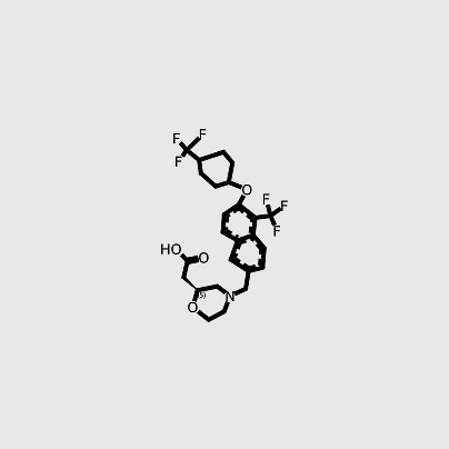 O=C(O)C[C@H]1CN(Cc2ccc3c(C(F)(F)F)c(OC4CCC(C(F)(F)F)CC4)ccc3c2)CCO1